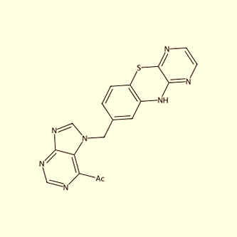 CC(=O)c1ncnc2ncn(Cc3ccc4c(c3)Nc3nccnc3S4)c12